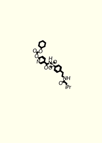 CC(C)CC(=O)NCCc1ccc(S(=O)(=O)NC(=O)c2ccc(OC(=O)OC3CCCCC3)nc2)cc1